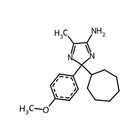 COc1ccc(C2(C3CCCCCC3)N=C(C)C(N)=N2)cc1